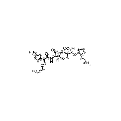 NCCn1nnnc1SCC1=C(C(=O)O)N2C(=O)C(NC(=O)C(=NOCC(=O)O)c3csc(N)n3)[C@@H]2SC1